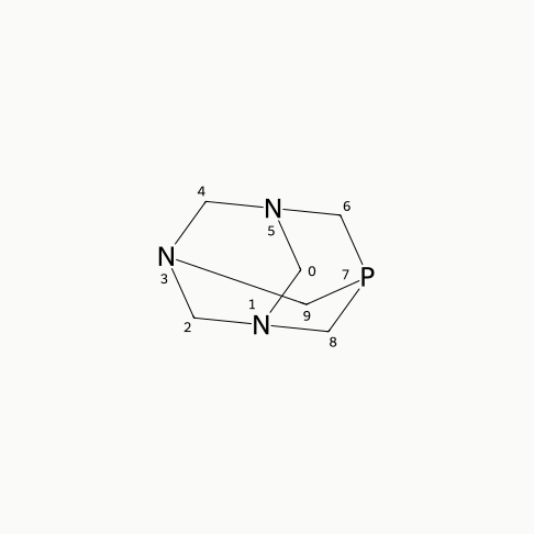 C1N2CN3CN1CP(C2)C3